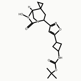 CC(C)(C)OC(=O)NC1CC(c2cc(C3CC4(CC4)[C@@H]4CN3C(=O)N4O)no2)C1